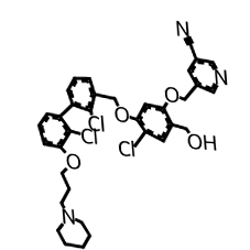 N#Cc1cncc(COc2cc(OCc3cccc(-c4cccc(OCCCN5CCCCC5)c4Cl)c3Cl)c(Cl)cc2CO)c1